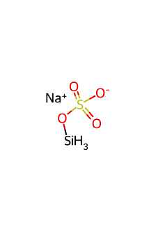 O=S(=O)([O-])O[SiH3].[Na+]